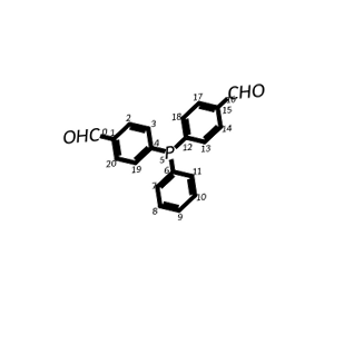 O=Cc1ccc(P(c2ccccc2)c2ccc(C=O)cc2)cc1